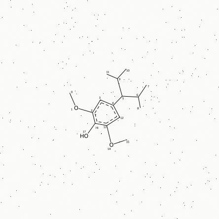 COc1cc(C(C(C)C)C(C)C)cc(OC)c1O